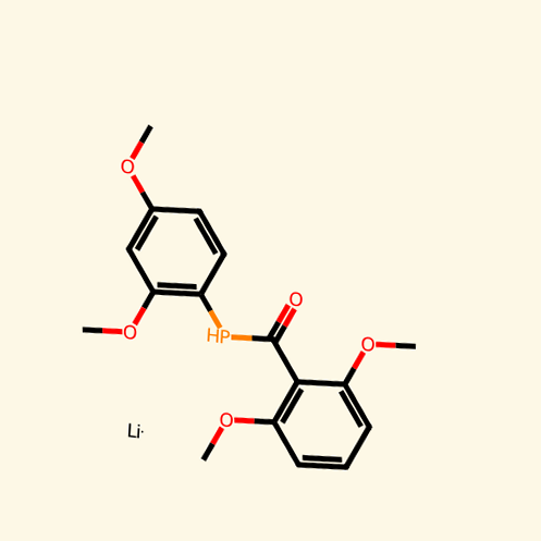 COc1ccc(PC(=O)c2c(OC)cccc2OC)c(OC)c1.[Li]